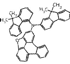 CC1(C)c2ccccc2-c2ccc(N(c3cc4oc5cccc6c7ccccc7c(c3)c4c56)c3cccc4c3-c3ccccc3C4(C)C)cc21